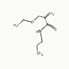 C=C(COCC)C(=O)NCCC